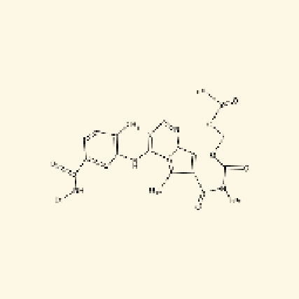 CCCC(=O)OCOC(=O)N(CCC)C(=O)c1cn2ncnc(Nc3cc(C(=O)NCC)ccc3C)c2c1C